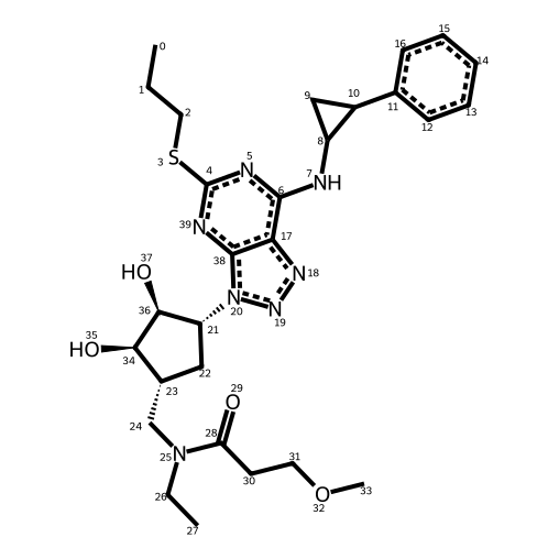 CCCSc1nc(NC2CC2c2ccccc2)c2nnn([C@@H]3C[C@H](CN(CC)C(=O)CCOC)[C@@H](O)[C@H]3O)c2n1